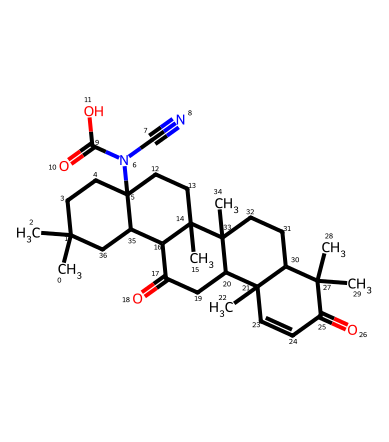 CC1(C)CCC2(N(C#N)C(=O)O)CCC3(C)C(C(=O)CC4C5(C)C=CC(=O)C(C)(C)C5CCC43C)C2C1